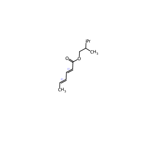 C/C=C/C=C/C(=O)OCC(C)C(C)C